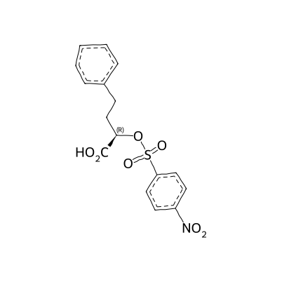 O=C(O)[C@@H](CCc1ccccc1)OS(=O)(=O)c1ccc([N+](=O)[O-])cc1